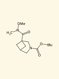 CON(C)C(=O)C12CC(CN(C(=O)OC(C)(C)C)C1)C2